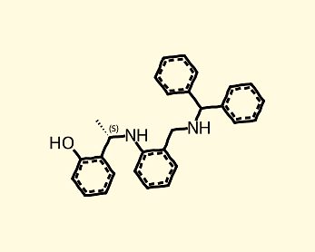 C[C@H](Nc1ccccc1CNC(c1ccccc1)c1ccccc1)c1ccccc1O